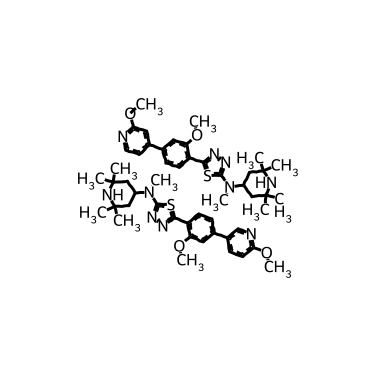 COc1cc(-c2ccc(-c3nnc(N(C)C4CC(C)(C)NC(C)(C)C4)s3)c(OC)c2)ccn1.COc1ccc(-c2ccc(-c3nnc(N(C)C4CC(C)(C)NC(C)(C)C4)s3)c(OC)c2)cn1